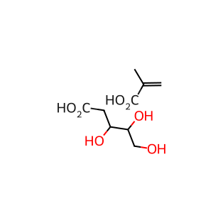 C=C(C)C(=O)O.O=C(O)CC(O)C(O)CO